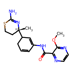 COc1nccnc1C(=O)NC1=CC([C@]2(C)CCSC(N)=N2)CC=C1